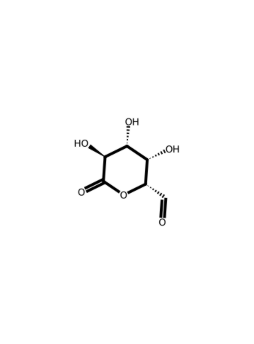 O=C[C@@H]1OC(=O)[C@@H](O)[C@H](O)[C@@H]1O